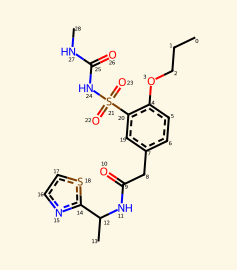 CCCOc1ccc(CC(=O)NC(C)c2nccs2)cc1S(=O)(=O)NC(=O)NC